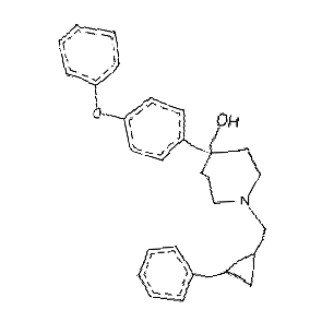 OC1(c2ccc(Oc3ccccc3)cc2)CCN(CC2CC2c2ccccc2)CC1